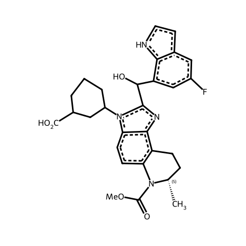 COC(=O)N1c2ccc3c(nc(C(O)c4cc(F)cc5cc[nH]c45)n3C3CCCC(C(=O)O)C3)c2CC[C@@H]1C